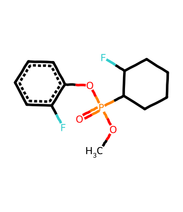 COP(=O)(Oc1ccccc1F)C1CCCCC1F